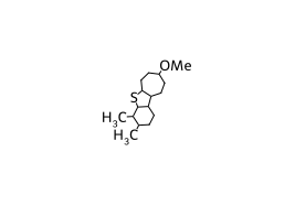 COC1CCC2SC3C(C)C(C)CCC3C2CC1